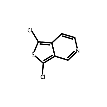 Clc1sc(Cl)c2cnccc12